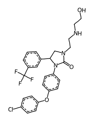 O=C1N(CCNCCO)CC(c2cccc(C(F)(F)F)c2)N1c1ccc(Oc2ccc(Cl)cc2)cc1